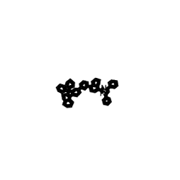 c1ccc(-c2cc(-c3ccccc3)nc(-c3ccc(-c4cccc(-c5ccc6c(c5)C(c5ccccc5)(c5ccccc5)c5ccc7ccccc7c5-6)c4)c4ccccc34)n2)cc1